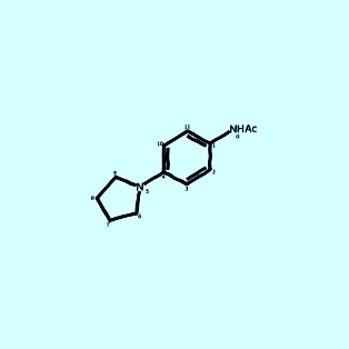 [CH2]C(=O)Nc1ccc(N2CCCC2)cc1